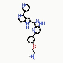 CN(C)CCOc1cccc(-c2ccc3[nH]nc(-c4cc5c(-c6cccnc6)nccc5[nH]4)c3n2)c1